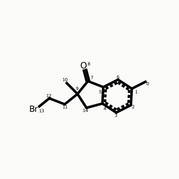 Cc1ccc2c(c1)C(=O)C(C)(CCBr)C2